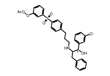 CC(=O)OOc1cccc(S(=O)(=O)c2ccc(CCCNC(Cc3ccccc3)[C@H](O)c3cccc(Cl)c3)cc2)c1